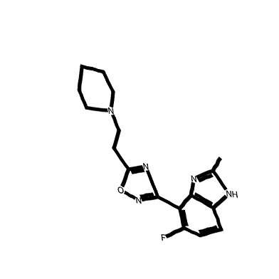 Cc1nc2c(-c3noc(CCN4CCCCC4)n3)c(F)ccc2[nH]1